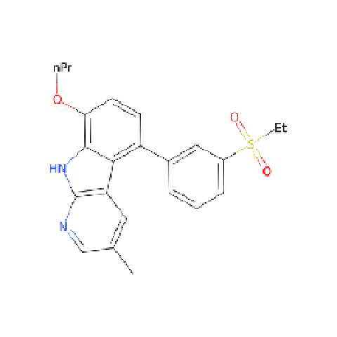 CCCOc1ccc(-c2cccc(S(=O)(=O)CC)c2)c2c1[nH]c1ncc(C)cc12